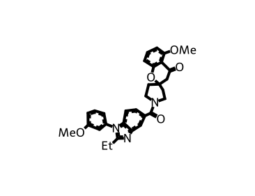 CCc1nc2cc(C(=O)N3CCC4(CC3)CC(=O)c3c(OC)cccc3O4)ccc2n1-c1cccc(OC)c1